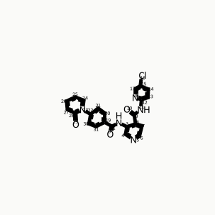 O=C(Nc1cnccc1C(=O)Nc1ccc(Cl)cn1)c1ccc(-n2ccccc2=O)cc1